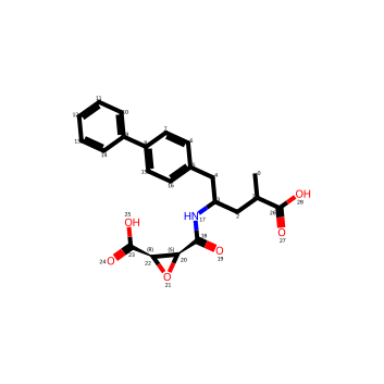 CC(CC(Cc1ccc(-c2ccccc2)cc1)NC(=O)[C@H]1O[C@H]1C(=O)O)C(=O)O